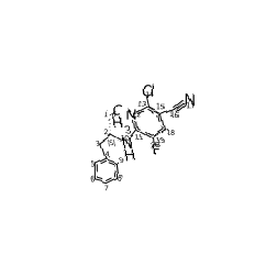 CC[C@@H](Cc1ccccc1)Nc1nc(Cl)c(C#N)cc1F